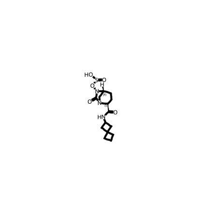 O=C(NC1CC2(CCC2)C1)[C@@H]1CC[C@@H]2CN1C(=O)N2OS(=O)O